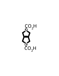 O=C(O)N1CC2=C(C1)CN(C(=O)O)C2